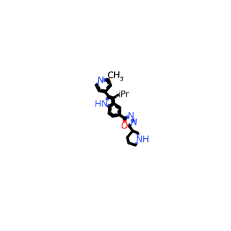 Cc1cc(-c2[nH]c3ccc(-c4nnc(C5CCCNC5)o4)cc3c2C(C)C)ccn1